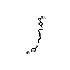 CC(C)(C)OC1CC(OCC#CCCCOCC2CN(C(C)(C)C)C2)C1